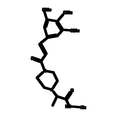 CCC(C)NC(=O)C(C)N1CCN(C(=O)C=Cc2cc(OC)c(OC)c(OC)c2)CC1